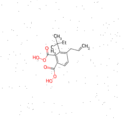 C=CCc1ccc(C(=O)OO)c(C(=O)OO)c1C(C)(C)CC